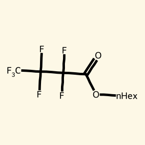 CCCCCCOC(=O)C(F)(F)C(F)(F)C(F)(F)F